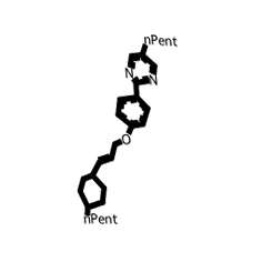 CCCCCc1cnc(-c2ccc(OCC=CC3CCC(CCCCC)CC3)cc2)nc1